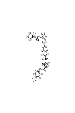 O=C(CCc1nccn1CCCCc1ccc(OCc2coc(C=Cc3ccc(C(F)(F)F)cc3)n2)cc1)N1CCCC1